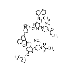 C=CC(=O)N1CCN(c2nc(OC[C@@H]3CC(c4cc(N5CCc6c(nc(OC[C@@H]7CCCN7C)nc6N6CCN(C(=O)C(=C)F)[C@@H](CC#N)C6)C5)c5c(Cl)cccc5c4)CN3C)nc3c2CCN(c2cccc4cccc(C)c24)C3)C[C@@H]1CC#N